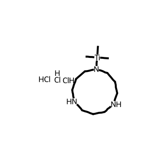 Cl.Cl.Cl.[CH3][Ti]([CH3])([CH3])[N]1CCCNCCCNCCC1